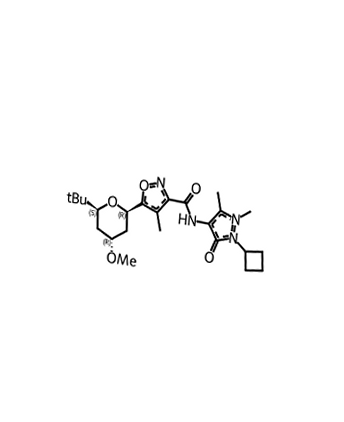 CO[C@@H]1C[C@@H](C(C)(C)C)O[C@@H](c2onc(C(=O)Nc3c(C)n(C)n(C4CCC4)c3=O)c2C)C1